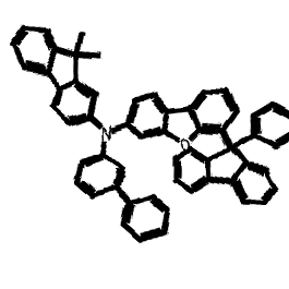 CC1(C)c2ccccc2-c2ccc(N(c3cccc(-c4ccccc4)c3)c3ccc4c(c3)oc3c(C5(c6ccccc6)c6ccccc6-c6ccccc65)cccc34)cc21